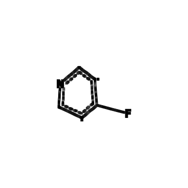 Fc1[c]cnc[c]1